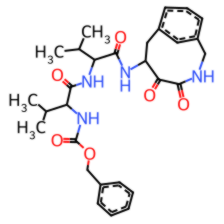 CC(C)C(NC(=O)OCc1ccccc1)C(=O)NC(C(=O)NC1Cc2cccc(c2)CNC(=O)C1=O)C(C)C